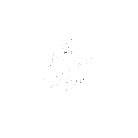 COc1ccc(OC2O[C@H](CCP(=O)(O)Cc3c(F)ccc(F)c3F)[C@@H](OCc3ccc(OC)c(OC)c3)[C@H](OCc3ccc(OC)c(OC)c3)[C@@H]2OCc2ccc(OC)c(OC)c2)cc1